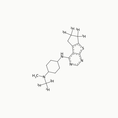 [2H]C([2H])([2H])N(C)C1CCC(Nc2ncnc3sc4c(c23)CC([2H])([2H])C4([2H])[2H])CC1